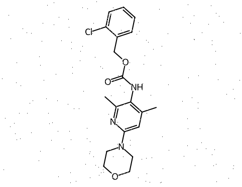 Cc1cc(N2CCOCC2)nc(C)c1NC(=O)OCc1ccccc1Cl